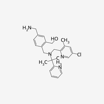 Cc1cc(Cl)cnc1CN(Cc1ccc(CN)cc1CO)C(C)(C)c1ccccn1